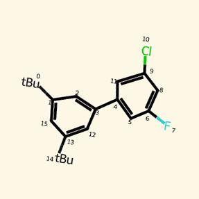 CC(C)(C)c1cc(-c2cc(F)cc(Cl)c2)cc(C(C)(C)C)c1